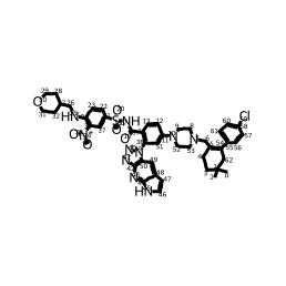 CC1(C)CCC(CN2CCN(c3ccc(C(=O)NS(=O)(=O)c4ccc(NCC5CCOCC5)c([N+](=O)[O-])c4)c(-n4nnc5nc6[nH]ccc6cc54)c3)CC2)=C(c2ccc(Cl)cc2)C1